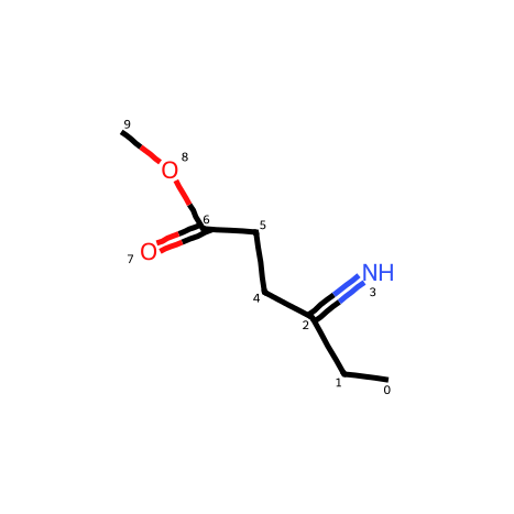 CCC(=N)CCC(=O)OC